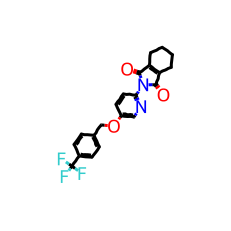 O=C1C2=C(CCCC2)C(=O)N1c1ccc(OCc2ccc(C(F)(F)F)cc2)cn1